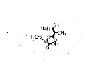 CSC[C@H](OC(=O)C(C)CS)C(=O)O.[NaH]